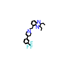 CCc1nc2cccc(CCN3CC=C(c4cccc(C(F)(F)F)c4)CC3)c2nc1CC